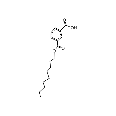 CCCCCCCCCOC(=O)c1cccc(C(=O)O)c1